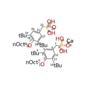 CCCCCCCCOc1c(C(C)(C)C)cc(CP(=O)(O)O)cc1C(C)(C)C.CCCCCCCCOc1c(C(C)(C)C)cc(CP(=O)(O)O)cc1C(C)(C)C.[Ca]